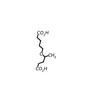 CC(CCC(=O)O)OCCCCC(=O)O